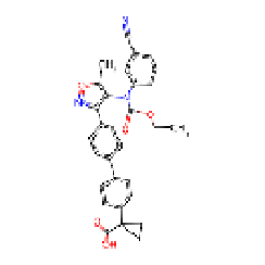 CCOC(=O)N(c1cccc(C#N)c1)c1c(-c2ccc(-c3ccc(C4(C(=O)O)CC4)cc3)cc2)noc1C